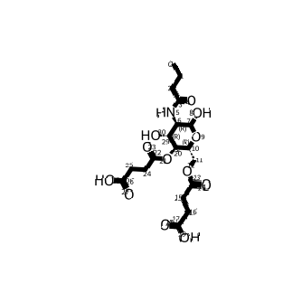 CCCC(=O)N[C@H]1C(O)O[C@H](COC(=O)CCC(=O)O)[C@@H](OC(=O)CCC(=O)O)[C@@H]1O